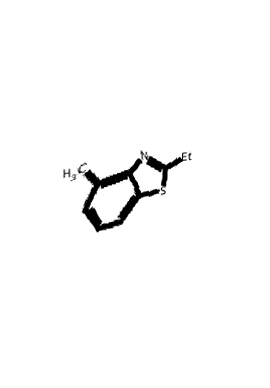 CCc1nc2c(C)cccc2s1